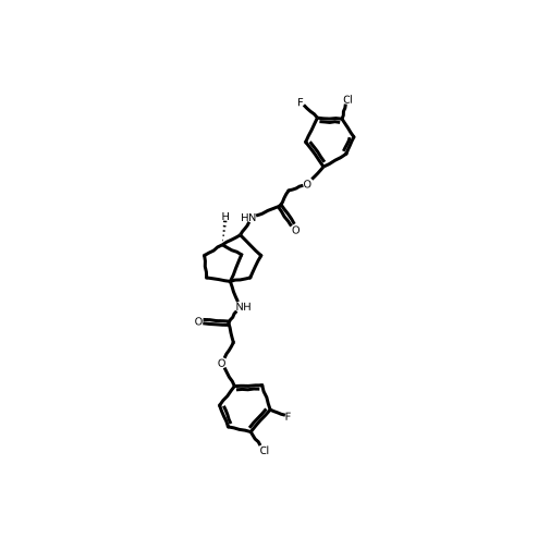 O=C(COc1ccc(Cl)c(F)c1)NC1CCC2(NC(=O)COc3ccc(Cl)c(F)c3)CC[C@@H]1C2